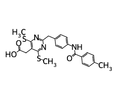 CSc1nc(Cc2ccc(NC(=O)c3ccc(C)cc3)cc2)nc(SC)c1CC(=O)O